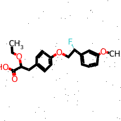 CCOC(Cc1ccc(OC[C@H](F)c2cccc(OC)c2)cc1)C(=O)O